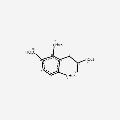 CCCCCCCCC(C)Cc1c(CCCCCC)ccc(C(=O)O)c1CCCCCC